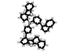 c1cc(-c2cccc3ccccc23)cc(N(c2ccc(-c3cccc4oc5c6ccccc6ccc5c34)cc2)c2cccc3c2oc2ccccc23)c1